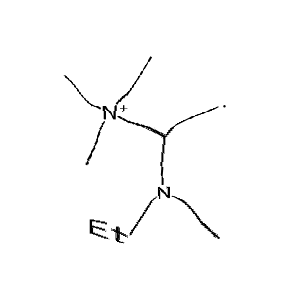 [CH2]C(N(C)CC)[N+](C)(C)C